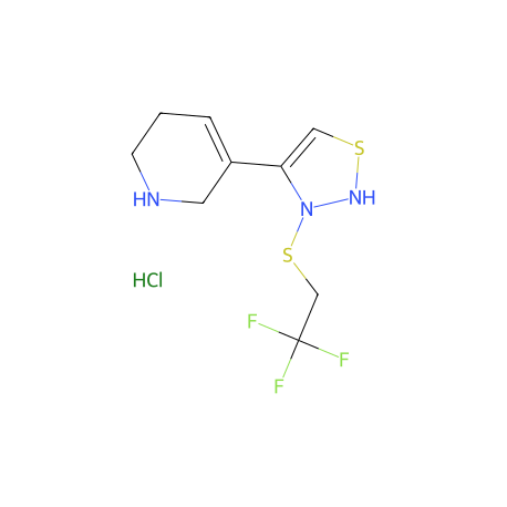 Cl.FC(F)(F)CSN1NSC=C1C1=CCCNC1